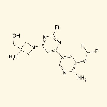 CCc1nc(-c2cnc(N)c(OC(F)F)c2)cc(N2CC(C)(CO)C2)n1